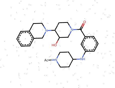 CC(=O)N1CCC(Nc2cccc(C(=O)N3CCC(N4CCc5ccccc5C4)C(O)C3)c2)CC1